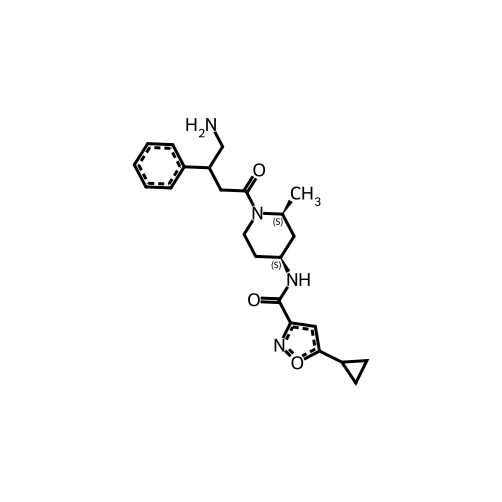 C[C@H]1C[C@@H](NC(=O)c2cc(C3CC3)on2)CCN1C(=O)CC(CN)c1ccccc1